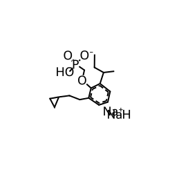 CCC(C)c1cccc(CCC2CC2)c1OCP(=O)([O-])O.[Na+].[NaH]